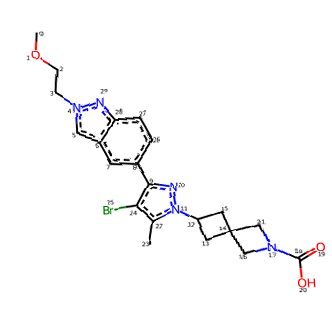 COCCn1cc2cc(-c3nn(C4CC5(C4)CN(C(=O)O)C5)c(C)c3Br)ccc2n1